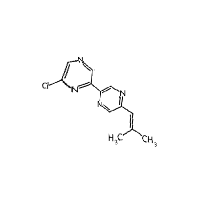 CC(C)=Cc1cnc(-c2[c]ncc(Cl)n2)cn1